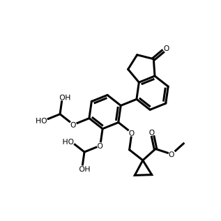 COC(=O)C1(COc2c(-c3cccc4c3CCC4=O)ccc(OC(O)O)c2OC(O)O)CC1